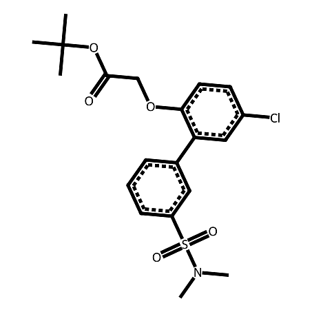 CN(C)S(=O)(=O)c1cccc(-c2cc(Cl)ccc2OCC(=O)OC(C)(C)C)c1